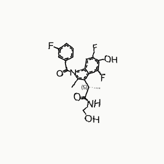 Cc1c([C@H](C)C(=O)NCO)c2c(F)c(O)c(F)cc2n1C(=O)c1cccc(F)c1